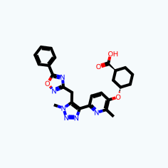 Cc1nc(-c2nnn(C)c2Cc2noc(-c3ccccc3)n2)ccc1O[C@H]1CCC[C@H](C(=O)O)C1